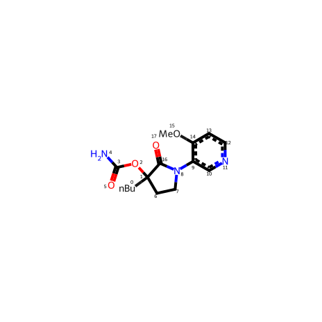 CCCCC1(OC(N)=O)CCN(c2cnccc2OC)C1=O